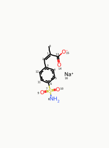 CC(=Cc1ccc(S(N)(=O)=O)cc1)C(=O)[O-].[Na+]